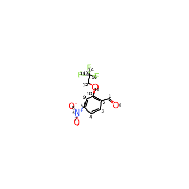 O=Cc1ccc([N+](=O)[O-])cc1OCC(F)(F)F